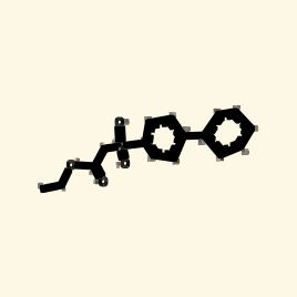 CCOC(=O)CS(=O)(=O)c1ccc(-c2ccccc2)cc1